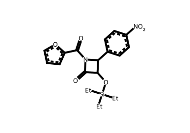 CC[Si](CC)(CC)OC1C(=O)N(C(=O)c2ccco2)C1c1ccc([N+](=O)[O-])cc1